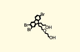 OCCCOCCCC1(CCCO)c2cc(Br)ccc2-c2cc(Br)c(Br)cc21